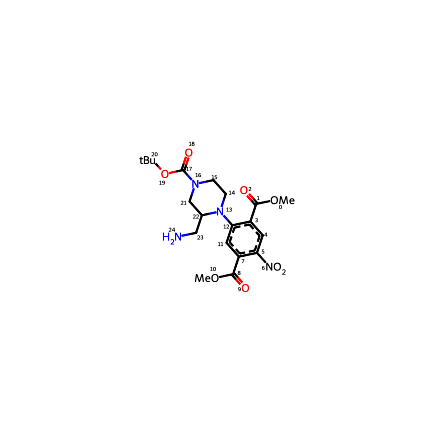 COC(=O)c1cc([N+](=O)[O-])c(C(=O)OC)cc1N1CCN(C(=O)OC(C)(C)C)CC1CN